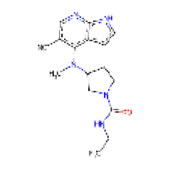 CN(c1c(C#N)cnc2[nH]ccc12)C1CCN(C(=O)NCC(F)(F)F)C1